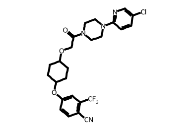 N#Cc1ccc(OC2CCC(OCC(=O)N3CCN(c4ccc(Cl)cn4)CC3)CC2)cc1C(F)(F)F